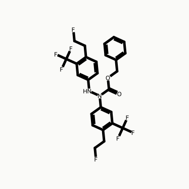 O=C(OCc1ccccc1)N(Nc1ccc(CCF)c(C(F)(F)F)c1)c1ccc(CCF)c(C(F)(F)F)c1